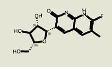 Cc1cc2cc([C@@H]3O[C@H](CO)C(O)[C@@H]3O)c(=O)nc-2[nH]c1F